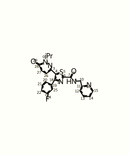 CC(C)n1nc(-c2sc(C(=O)NCc3ccccn3)nc2-c2cccc(F)c2)ccc1=O